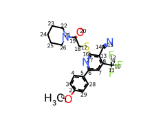 COc1ccc(-c2cc(C(F)(F)F)c(C#N)c(SCC(=O)N3CCCCC3)n2)cc1